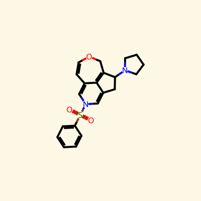 O=S(=O)(c1ccccc1)N1C=C2C=COCC3=C2C(=C1)CC3N1CCCC1